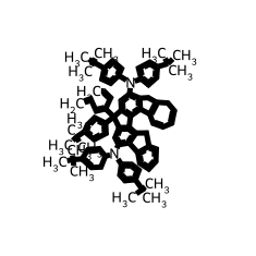 C=C/C=C(\C=C/C)C1(c2ccc(C(C)(C)C)cc2)c2cc(N(c3ccc(C(C)(C)C)cc3)C3C=CC(C(C)(C)C)=CC3)c3c(c2-c2c1cc(N(c1ccc(C(C)(C)C)cc1)c1ccc(C(C)(C)C)cc1)c1c2C2=C(CC=CC=C2)C1)Cc1ccccc1-3